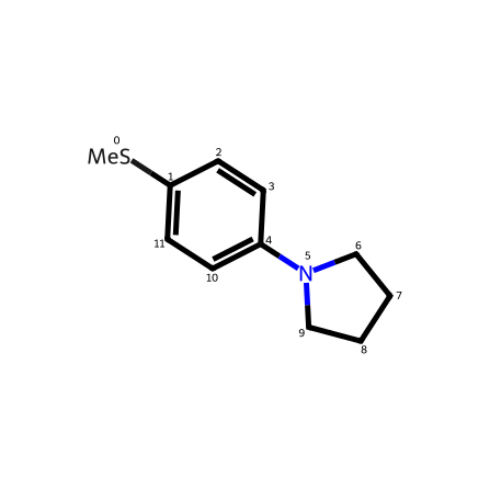 CSc1ccc(N2CCCC2)cc1